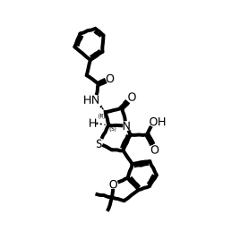 CC1(C)Cc2cccc(C3=C(C(=O)O)N4C(=O)[C@@H](NC(=O)Cc5ccccc5)[C@@H]4SC3)c2O1